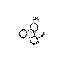 CN1CCN(c2ncccc2C#N)[C@@H](c2ccccc2)C1